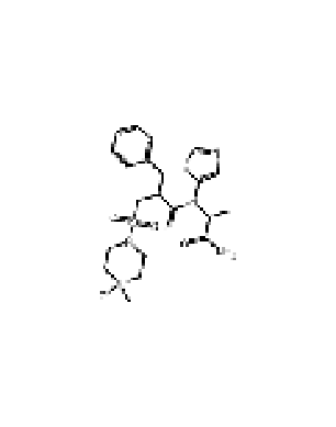 CC(C(N)=O)N(C(=O)C(Cc1ccccc1)CS(=O)(=O)N1CC[N+](C)([O-])CC1)c1cncs1